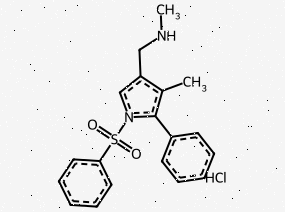 CNCc1cn(S(=O)(=O)c2ccccc2)c(-c2ccccc2)c1C.Cl